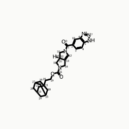 O=C(c1ccc2[nH]nnc2c1)N1C=C2CN(C(=O)OCCC34CC5CC(CC(C5)C3)C4)C[C@@H]2C1